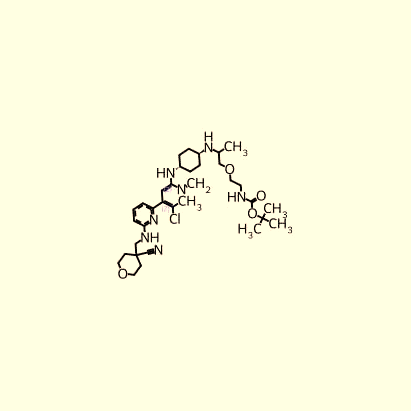 C=N/C(=C\C(=C(/C)Cl)c1cccc(NCC2(C#N)CCOCC2)n1)N[C@H]1CC[C@H](NC(C)COCCNC(=O)OC(C)(C)C)CC1